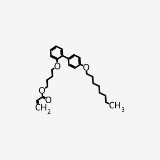 C=CC(=O)OCCCCOc1ccccc1-c1ccc(OCCCCCCCC)cc1